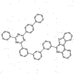 c1ccc(-c2ccc(-c3nc(-c4ccccc4)nc(-c4cccc(-c5cccc(-c6cccc(-c7nc8cccnc8c8c7sc7ccccc78)c6)c5)c4)n3)cc2)cc1